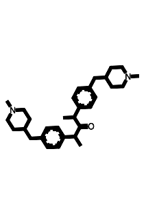 CC(C(=O)C(C)c1ccc(CC2CCN(C)CC2)cc1)c1ccc(CC2CCN(C)CC2)cc1